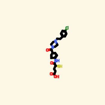 O=C(O)CCC(S)C(=O)Nc1ccc(C(=O)N2CCN(CCc3ccc(Cl)cc3)CC2)cc1